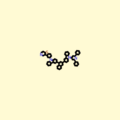 c1ccc(-c2cc(-n3c4ccccc4c4cc(-c5cc(-c6ccc7c(c6)c6ccccc6n7-c6ccc7sc8ccncc8c7c6)c6ccccc6c5)ccc43)cc(-c3ccccc3)n2)cc1